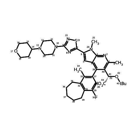 Cc1nc2c(cc(-c3nc(N4CCN(C5CCOCC5)CC4)ns3)n2C)c(-c2cc(F)c3c(c2C)CCCCC3)c1[C@H](OC(C)(C)C)C(=O)O